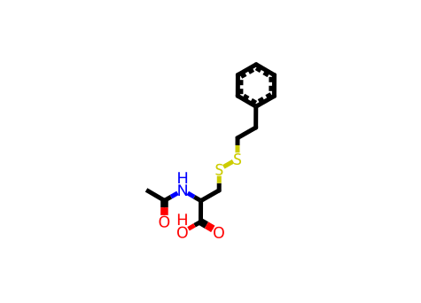 CC(=O)NC(CSSCCc1ccccc1)C(=O)O